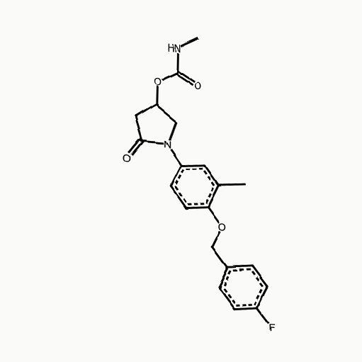 CNC(=O)OC1CC(=O)N(c2ccc(OCc3ccc(F)cc3)c(C)c2)C1